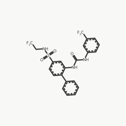 O=C(Nc1cccc(C(F)(F)F)c1)Nc1cc(S(=O)(=O)NCC(F)(F)F)ccc1-c1ccccc1